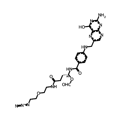 [N-]=[N+]=NCCOCCNC(=O)CC[C@H](NC(=O)c1ccc(NCc2cnc3nc(N)nc(O)c3n2)cc1)OC=O